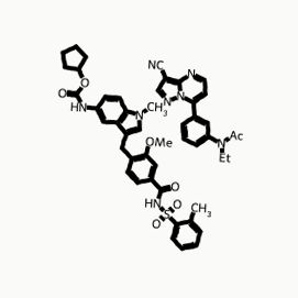 CCN(C(C)=O)c1cccc(-c2ccnc3c(C#N)cnn23)c1.COc1cc(C(=O)NS(=O)(=O)c2ccccc2C)ccc1Cc1cn(C)c2ccc(NC(=O)OC3CCCC3)cc12